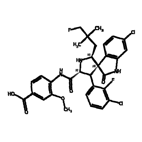 COc1cc(C(=O)O)ccc1NC(=O)[C@@H]1N[C@@H](CC(C)(C)CF)[C@@]2(C(=O)Nc3cc(Cl)ccc32)C1c1cccc(Cl)c1F